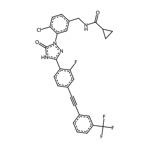 O=C(NCc1ccc(Cl)c(-n2nc(-c3ccc(C#Cc4cccc(C(F)(F)F)c4)cc3F)[nH]c2=O)c1)C1CC1